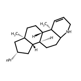 CCC[C@H]1C[C@H]2[C@@H]3CCC4NCC=C[C@]4(C)[C@H]3CC[C@]2(C)C1